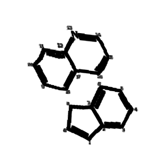 C1=Cc2ccccc2C1.c1ccc2ncccc2c1